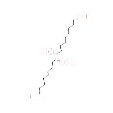 OCCCCCCCCC(O)C(O)CCCCCCCCO